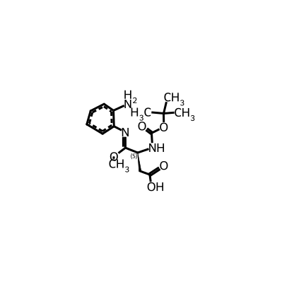 COC(=Nc1ccccc1N)[C@H](CC(=O)O)NC(=O)OC(C)(C)C